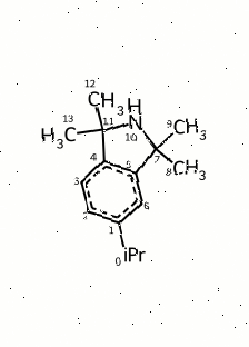 CC(C)c1ccc2c(c1)C(C)(C)NC2(C)C